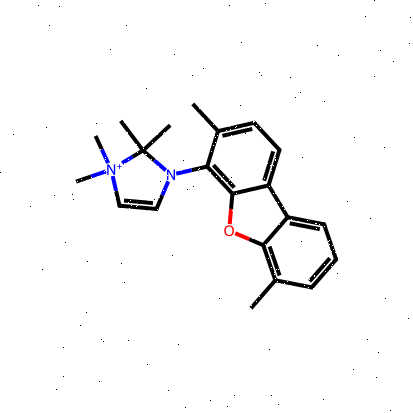 Cc1ccc2c(oc3c(C)cccc32)c1N1C=C[N+](C)(C)C1(C)C